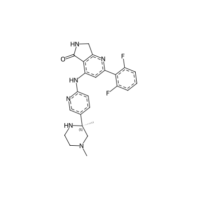 CN1CCN[C@@](C)(c2ccc(Nc3cc(-c4c(F)cccc4F)nc4c3C(=O)NC4)nc2)C1